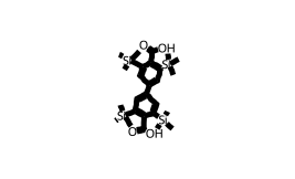 C[Si](C)(C)c1cc(-c2cc([Si](C)(C)C)c(C(=O)O)c([Si](C)(C)C)c2)cc([Si](C)(C)C)c1C(=O)O